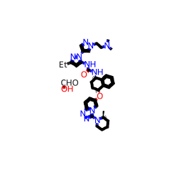 CCc1cc(NC(=O)N[C@H]2CC[C@@H](Oc3ccc4nnc(N5CCCC[C@@H]5C)n4c3)c3ccccc32)n(-c2cnn(CCN(C)C)c2)n1.O=CO